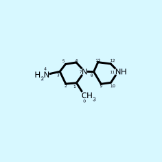 CC1CC(N)CCN1C1CCNCC1